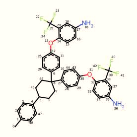 Cc1ccc(C2CCC(c3ccc(Oc4ccc(N)cc4C(F)(F)F)cc3)(c3ccc(Oc4ccc(N)cc4C(F)(F)F)cc3)CC2)cc1